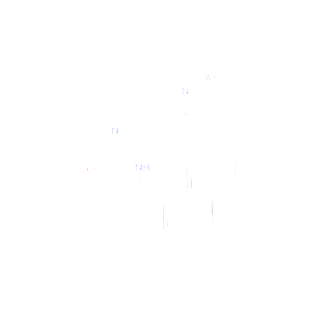 CC(=O)N1CCC(N(C)C(=O)NC(C)c2cccc3ccccc23)CC1